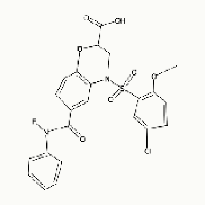 COc1ccc(Cl)cc1S(=O)(=O)N1CC(C(=O)O)Oc2ccc(C(=O)N(F)c3ccccc3)cc21